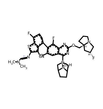 CN(C)/C=N/c1sc2c(F)ccc(-c3c(Cl)cc4c(N5CC6CCC(C5)N6C(=O)O)nc(OC[C@@]56CCCN5C[C@H](F)C6)nc4c3F)c2c1C#N